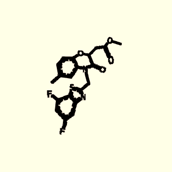 COC(=O)CC1Oc2ccc(C)cc2N(Cc2nc3cc(F)cc(F)c3s2)C1=O